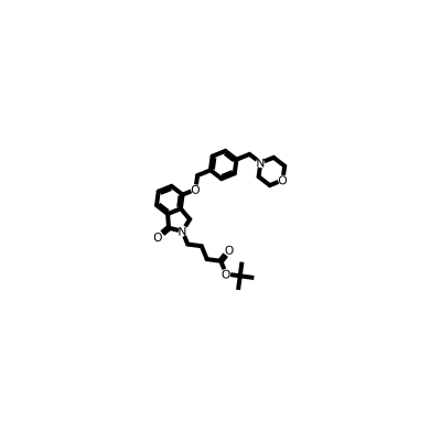 CC(C)(C)OC(=O)CCCN1Cc2c(OCc3ccc(CN4CCOCC4)cc3)cccc2C1=O